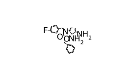 NC1=CC=C(N(Cc2ccc(F)cc2)C(=O)OCc2ccccc2)C1N